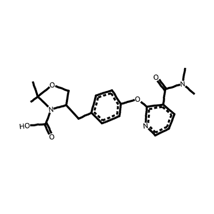 CN(C)C(=O)c1cccnc1Oc1ccc(CC2COC(C)(C)N2C(=O)O)cc1